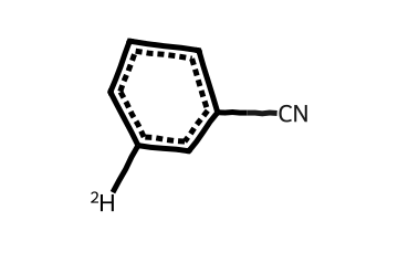 [2H]c1cccc(C#N)c1